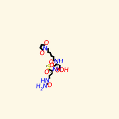 CSC(=O)[C@H](CCCNC(N)=O)NC(=O)[C@H](CC(=O)O)NC(=O)CCCCCN1C(=O)C=CC1=O